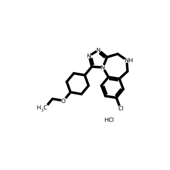 CCOC1CCC(c2nnc3n2-c2ccc(Cl)cc2CNC3)CC1.Cl